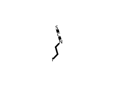 S=C=NCCI